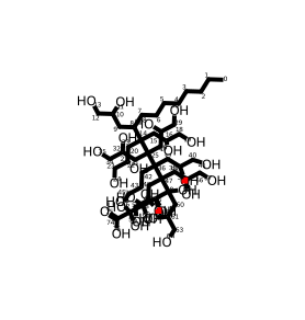 CCCCCCCCC(CC(O)CO)C(CC(O)CO)(CC(O)CO)C(CC(O)CO)(CC(O)CO)C(CC(O)CO)(CC(O)CO)C(CC(O)CO)(CC(O)CO)C(O)(CC(O)CO)C(O)(O)C(O)(O)C(O)(O)C(=O)O